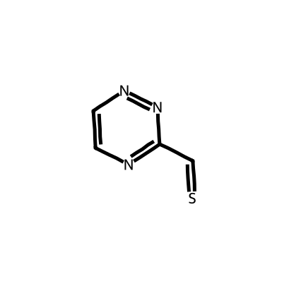 S=Cc1nccnn1